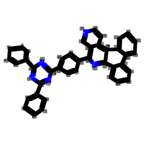 c1ccc(-c2nc(-c3ccccc3)nc(-c3ccc(-c4nc5c6ccccc6c6ccccc6c5c5ccncc45)cc3)n2)cc1